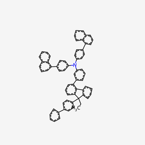 CCC1(c2ccc(-c3ccccc3)cc2)c2ccccc2-c2c(-c3cccc(N(c4ccc(-c5cccc6ccccc56)cc4)c4ccc(-c5cccc6ccccc56)cc4)c3)cccc21